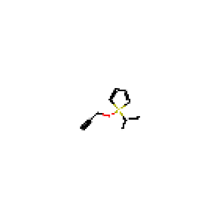 C#CCOS1(C(C)C)C=CC=C1